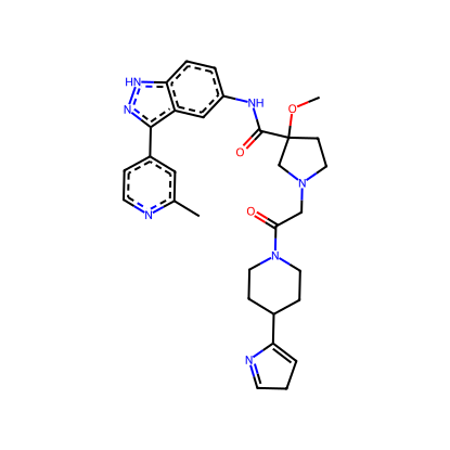 COC1(C(=O)Nc2ccc3[nH]nc(-c4ccnc(C)c4)c3c2)CCN(CC(=O)N2CCC(C3=CCC=N3)CC2)C1